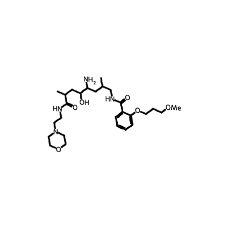 COCCCOc1ccccc1C(=O)NCC(C)CC(N)C(O)CC(C)C(=O)NCCN1CCOCC1